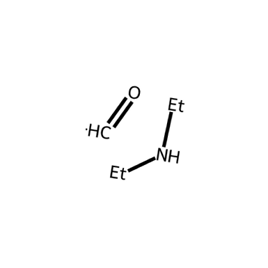 CCNCC.[CH]=O